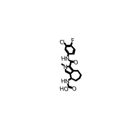 Cn1cc2c(c1C(=O)Nc1ccc(F)c(Cl)c1)CCCCC2NC(=O)O